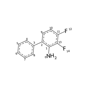 Nc1c(-c2ccccc2)ccc(F)c1F